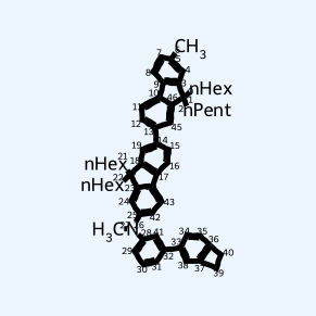 CCCCCCC1(CCCCC)c2cc(C)ccc2-c2ccc(-c3ccc4c(c3)C(CCCCCC)(CCCCCC)c3cc(N(C)c5cccc(-c6ccc7c(c6)CC7)c5)ccc3-4)cc21